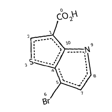 O=C(O)c1csc2c(Br)ccnc12